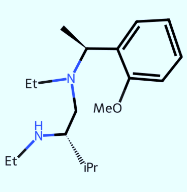 CCN[C@H](CN(CC)[C@@H](C)c1ccccc1OC)C(C)C